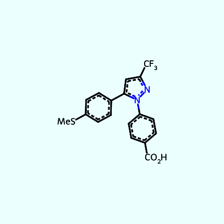 CSc1ccc(-c2cc(C(F)(F)F)nn2-c2ccc(C(=O)O)cc2)cc1